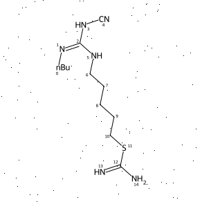 CCCC/N=C(/NC#N)NCCCCCSC(=N)N